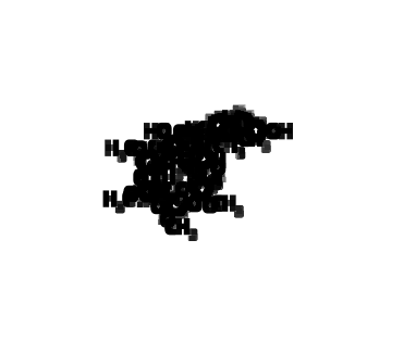 CO[C@H]1[C@@H](O)[C@@H](C)O[C@@H](O[C@H]2[C@@H](OC)C[C@H](O[C@H]3[C@@H](OC)C[C@H](O[C@H]4[C@@H](OC)C[C@H](O[C@@H]5[C@@H](C)O[C@@]6(C[C@H]5OC)OCO[C@@H]5C[C@H](O[C@@H](C)[C@@]7(O)CC[C@H]8[C@@H]9CC=C%10C[C@@H](O)CC[C@]%10(C)[C@H]9CC[C@@]87C)O[C@H](C)[C@H]5O6)O[C@@H]4C)O[C@@H]3C)O[C@@H]2C)[C@@H]1O